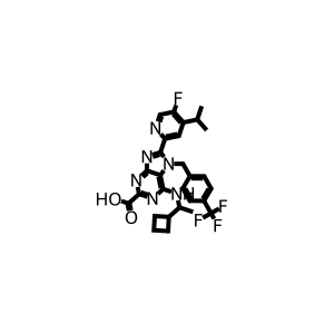 CC(C)c1cc(-c2nc3nc(C(=O)O)nc(NC(C)C4CCC4)c3n2Cc2ccc(C(F)(F)F)cc2)ncc1F